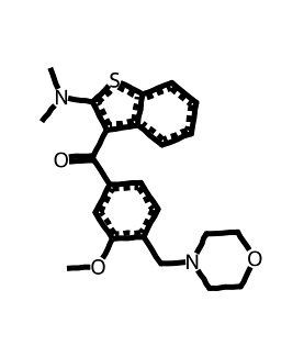 COc1cc(C(=O)c2c(N(C)C)sc3ccccc23)ccc1CN1CCOCC1